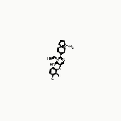 N=Cn1c(N2CCC3(CCC[C@@H]3N)CC2)ncc(Sc2cccc(Cl)c2Cl)c1=N